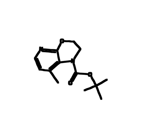 Cc1ccnc2c1N(C(=O)OC(C)(C)C)CCO2